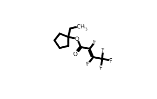 CCC1(OC(=O)C(F)=C(F)C(F)(F)F)CCCC1